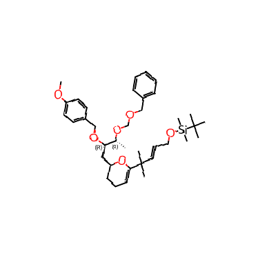 COc1ccc(CO[C@H](CC2CCC=C(C(C)(C)C=CCO[Si](C)(C)C(C)(C)C)O2)[C@@H](C)OCOCc2ccccc2)cc1